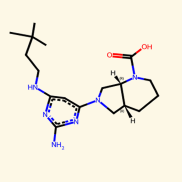 CC(C)(C)CCNc1cc(N2C[C@H]3CCCN(C(=O)O)[C@H]3C2)nc(N)n1